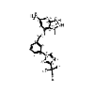 Nc1cc(OCc2cccc(-n3cnc(C(F)(F)I)n3)c2)c2c(n1)NNN2